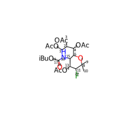 CC(=O)OC[C@@H](OC(C)=O)[C@@H](OC(C)=O)C1OC(C)(C)C(F)C(OC(C)=O)C1NC(=O)OCC(C)C